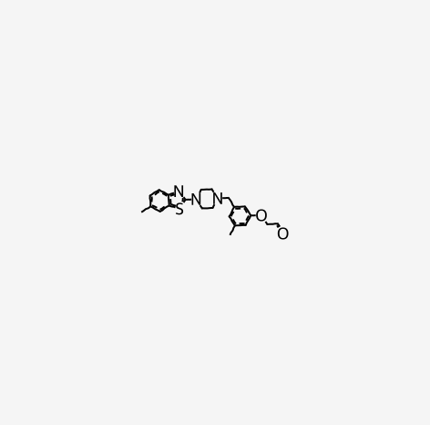 Cc1cc(CN2CCN(c3nc4ccc(C)cc4s3)CC2)cc(OCC=O)c1